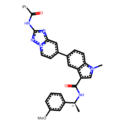 COc1cccc([C@H](C)NC(=O)c2cn(C)c3ccc(-c4ccn5nc(NC(=O)C(C)C)nc5c4)cc23)c1